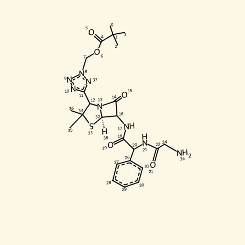 CC(C)(C)C(=O)OCn1nnc(C2N3C(=O)C(NC(=O)C(NC(=O)CN)c4ccccc4)[C@H]3SC2(C)C)n1